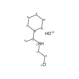 CC(NCCCl)C1CCCCC1.Cl